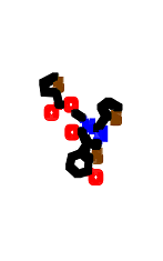 O=C(OCCn1c(-c2cccs2)nc2sc3c(c2c1=O)CCCC3=O)c1cccs1